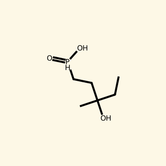 CCC(C)(O)CC[PH](=O)O